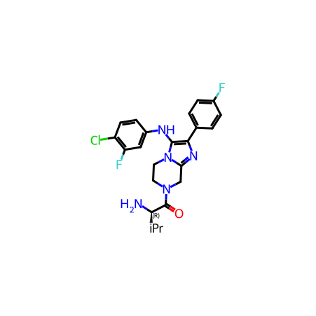 CC(C)[C@@H](N)C(=O)N1CCn2c(nc(-c3ccc(F)cc3)c2Nc2ccc(Cl)c(F)c2)C1